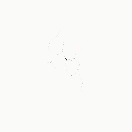 C=C(C)[C@@H]1CCC(C)=C[C@H]1c1ccc(CCC)cc1O